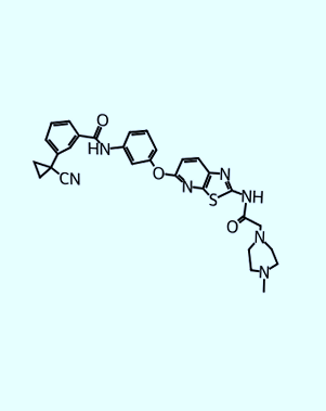 CN1CCN(CC(=O)Nc2nc3ccc(Oc4cccc(NC(=O)c5cccc(C6(C#N)CC6)c5)c4)nc3s2)CC1